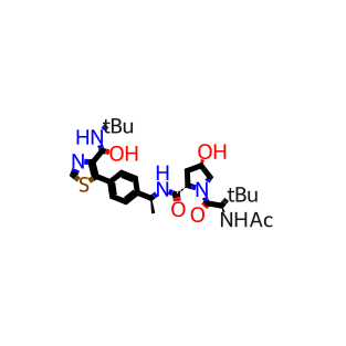 CC(=O)N[C@H](C(=O)N1C[C@H](O)C[C@H]1C(=O)N[C@@H](C)c1ccc(-c2scnc2C(O)NC(C)(C)C)cc1)C(C)(C)C